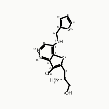 N[C@@H](CO)Cc1sc2c(NCc3cccs3)cnnc2c1Cl